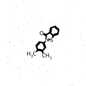 Cc1ccc(-n2sc3ccccc3c2=O)cc1C